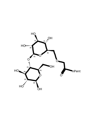 CCCCCC(=O)COC[C@H]1O[C@@H](O[C@H]2[C@H](O)[C@@H](O)[C@H](O)O[C@@H]2CO)[C@H](O)[C@@H](O)[C@@H]1O